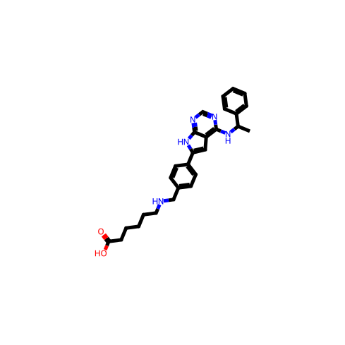 CC(Nc1ncnc2[nH]c(-c3ccc(CNCCCCCC(=O)O)cc3)cc12)c1ccccc1